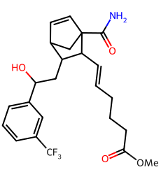 COC(=O)CCCC=CC1C(CC(O)c2cccc(C(F)(F)F)c2)C2C=CC1(C(N)=O)C2